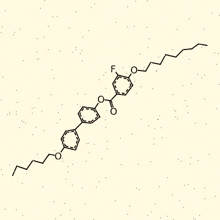 CCCCCCCCCOc1ccc(C(=O)Oc2ccc(-c3ccc(OCCCCCC)cc3)cc2)cc1F